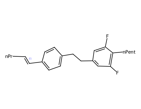 CCC/C=C/c1ccc(CCc2cc(F)c(CCCCC)c(F)c2)cc1